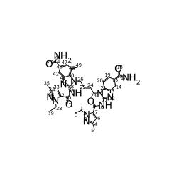 CCn1nc(C)cc1C(=O)Nc1nc2cc(C(N)=O)ccc2n1CC=CCn1c(NC(=O)c2cc(C)nn2CC)nc2cc(C(N)=O)cc(C)c21